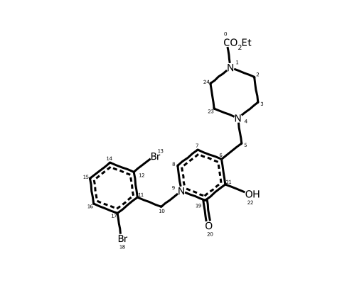 CCOC(=O)N1CCN(Cc2ccn(Cc3c(Br)cccc3Br)c(=O)c2O)CC1